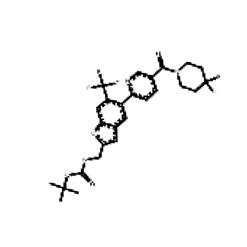 CC(C)(C)OC(=O)NCc1cc2cc(-c3ccc(C(=O)N4CCC(F)(F)CC4)cn3)c(C(F)(F)F)cc2o1